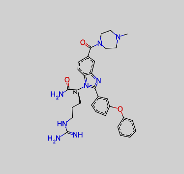 CN1CCN(C(=O)c2ccc3c(c2)nc(-c2cccc(Oc4ccccc4)c2)n3[C@@H](CCCNC(=N)N)C(N)=O)CC1